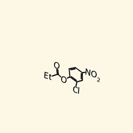 CCC(=O)Oc1ccc([N+](=O)[O-])cc1Cl